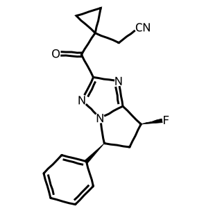 N#CCC1(C(=O)c2nc3n(n2)[C@H](c2ccccc2)C[C@@H]3F)CC1